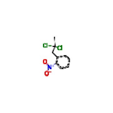 CC(Cl)(Cl)Cc1ccccc1[N+](=O)[O-]